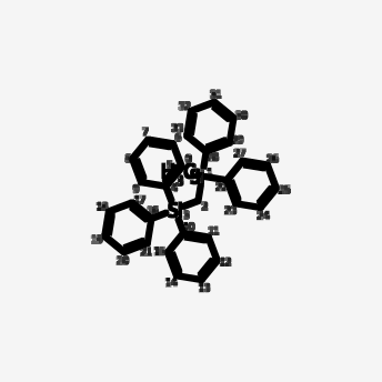 C[Si](C[Si](c1ccccc1)(c1ccccc1)c1ccccc1)(c1ccccc1)c1ccccc1